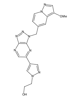 COc1cnn2ccc(Cn3nnc4ncc(-c5cnn(CCO)c5)nc43)cc12